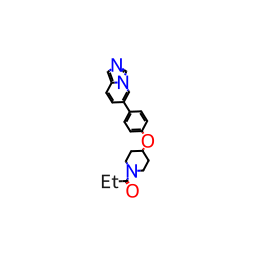 CCC(=O)N1CCC(Oc2ccc(-c3ccc4cncn4c3)cc2)CC1